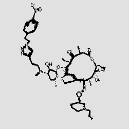 CC[C@H]1OC(=O)[C@H](C)C(=O)[C@H](C)[C@@H](O[C@@H]2O[C@H](C)C[C@H](N(C)CCc3cn(CCc4ccc([N+](=O)[O-])cc4)nn3)[C@H]2O)[C@@]2(C)C[C@@H](CO2)/C(=N\O[C@@H]2CCCN(CCF)C2)[C@H](C)[C@@H](O)[C@]1(C)O